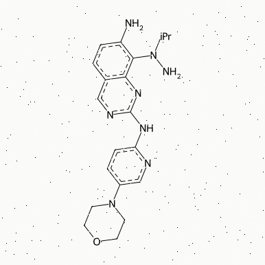 CC(C)N(N)c1c(N)ccc2cnc(Nc3ccc(N4CCOCC4)cn3)nc12